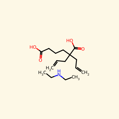 C=CCC(CC=C)(CCCC(=O)O)C(=O)O.CCNCC